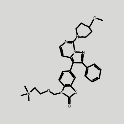 COC1CCN(c2nccc3c(-c4ccc5c(c4)sc(=O)n5COCC[Si](C)(C)C)c(-c4ccccc4)nn23)CC1